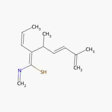 C=N/C(S)=C(\C=C/C)C(C)C=CC(=C)C